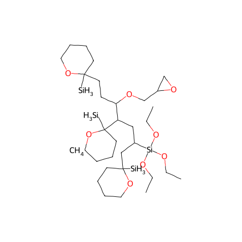 C.CCO[Si](OCC)(OCC)C(CC(C(CCC1([SiH3])CCCCO1)OCC1CO1)C1([SiH3])CCCCO1)CC1([SiH3])CCCCO1